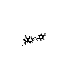 Cn1cc(Br)c2ccc(OCc3ccc(F)cn3)nc21